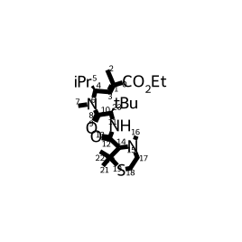 CCOC(=O)/C(C)=C/[C@H](C(C)C)N(C)C(=O)[C@@H](NC(=O)C1N(C)CCSC1(C)C)C(C)(C)C